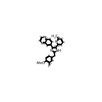 COc1ccc(Cc2nc(-c3ccc4nccnc4c3)c(-c3cccc(C)n3)[nH]2)cc1F